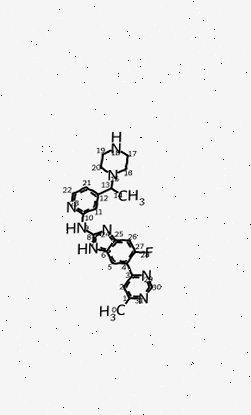 Cc1cc(-c2cc3[nH]c(Nc4cc(C(C)N5CCNCC5)ccn4)nc3cc2F)ncn1